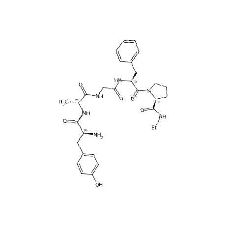 CCNC(=O)[C@@H]1CCCN1C(=O)[C@H](Cc1ccccc1)NC(=O)CNC(=O)[C@@H](C)NC(=O)[C@@H](N)Cc1ccc(O)cc1